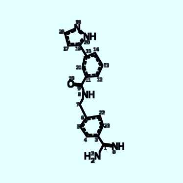 N=C(N)c1ccc(CNC(=O)c2cccc(-c3ccn[nH]3)c2)cc1